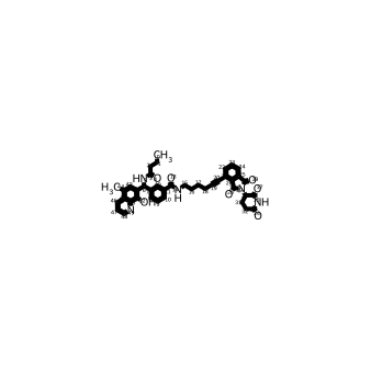 CCCC(=O)NC(c1cccc(C(=O)NCCCCC#Cc2cccc3c2C(=O)N(C2CCC(=O)NC2=O)C3=O)c1)c1cc(C)c2cccnc2c1O